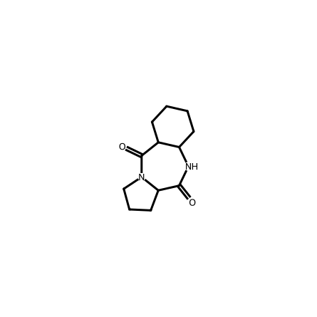 O=C1NC2CCCCC2C(=O)N2CCCC12